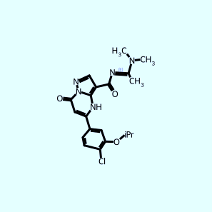 C/C(=N\C(=O)c1cnn2c(=O)cc(-c3ccc(Cl)c(OC(C)C)c3)[nH]c12)N(C)C